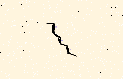 I/C=C/C=C/C=C/I